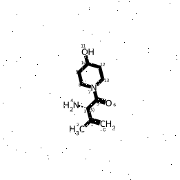 C=C(C)[C@H](N)C(=O)N1CCC(O)CC1